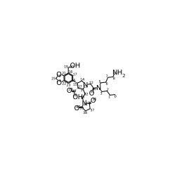 CCCCN(CCCCN)C(=O)CN1C[C@H](c2cc(CO)c3c(c2)OCO3)[C@@H](C(=O)O)[C@@H]1CCN1C(=O)CCC1=O